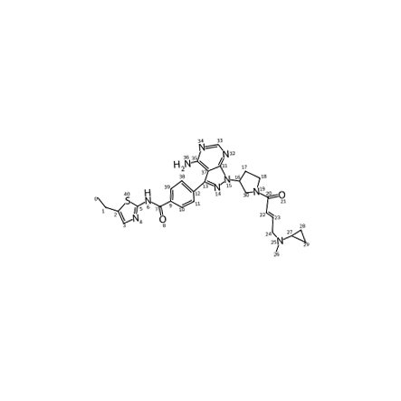 CCc1cnc(NC(=O)c2ccc(-c3nn(C4CCN(C(=O)C=CCN(C)C5CC5)C4)c4ncnc(N)c34)cc2)s1